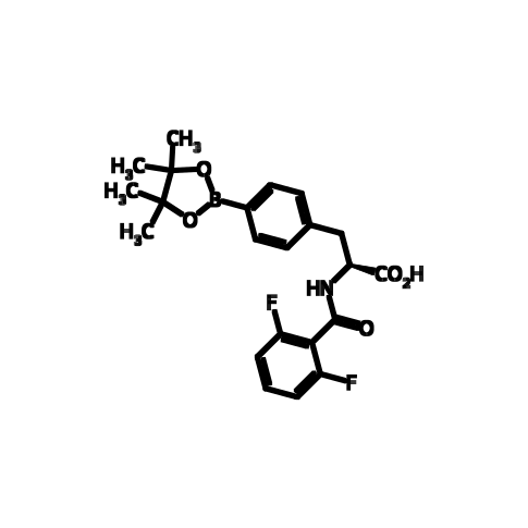 CC1(C)OB(c2ccc(C[C@H](NC(=O)c3c(F)cccc3F)C(=O)O)cc2)OC1(C)C